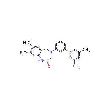 Cc1cc(-c2cccc(N3CC(=O)Nc4cc(C(F)(F)F)c(C)cc4C3)c2)cc(C)n1